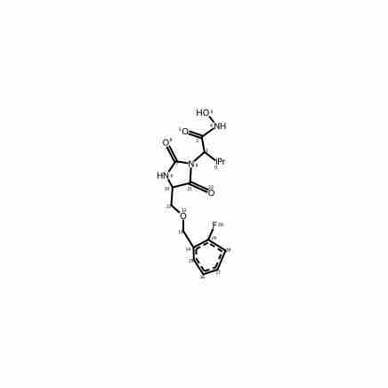 CC(C)C(C(=O)NO)N1C(=O)NC(COCc2ccccc2F)C1=O